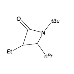 CCCC1C(CC)C(=O)N1C(C)(C)C